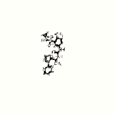 Cc1ccc(NC(=O)NC(C)c2ncnn2-c2ncccn2)cc1S(=O)(=O)NC1CC1